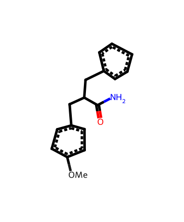 COc1ccc(CC(Cc2ccccc2)C(N)=O)cc1